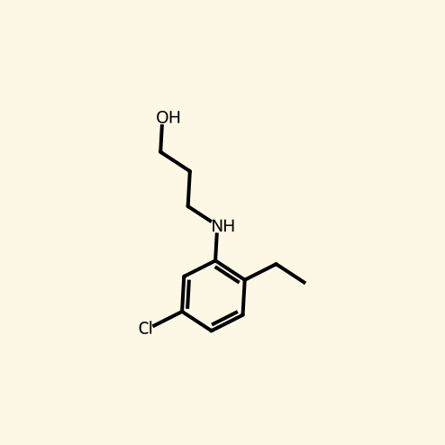 CCc1ccc(Cl)cc1NCCCO